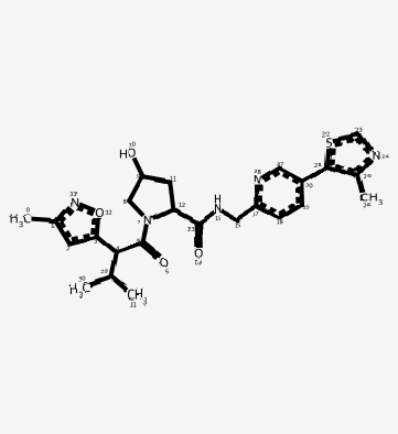 Cc1cc(C(C(=O)N2CC(O)CC2C(=O)NCc2ccc(-c3scnc3C)cn2)C(C)C)on1